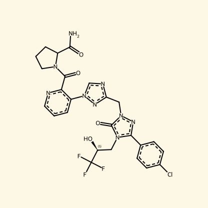 NC(=O)C1CCCN1C(=O)c1ncccc1-n1cnc(Cn2nc(-c3ccc(Cl)cc3)n(C[C@H](O)C(F)(F)F)c2=O)n1